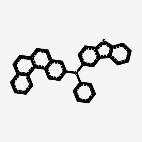 c1ccc(N(c2ccc3c(ccc4ccc5ccccc5c43)c2)c2ccc3sc4ccccc4c3c2)cc1